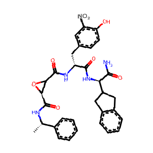 C[C@H](NC(=O)[C@H]1OC1C(=O)N[C@H](Cc1ccc(O)c([N+](=O)[O-])c1)C(=O)N[C@@H](C(N)=O)C1Cc2ccccc2C1)c1ccccc1